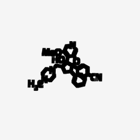 COc1cncc2c1C1(O)C(CN3CCN(C)CC3)CC(c3ccccc3)C1(c1ccc(C#N)cc1)O2